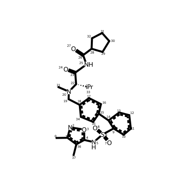 Cc1noc(NS(=O)(=O)c2ccccc2-c2ccc(CN(C)[C@H](C(=O)NC(=O)C3CCCC3)C(C)C)cc2)c1C